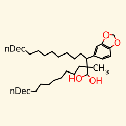 CCCCCCCCCCCCCCCCCCC(c1ccc2c(c1)OCO2)C(C)(CCCCCCCCCCCCCCCCCC)C(O)O